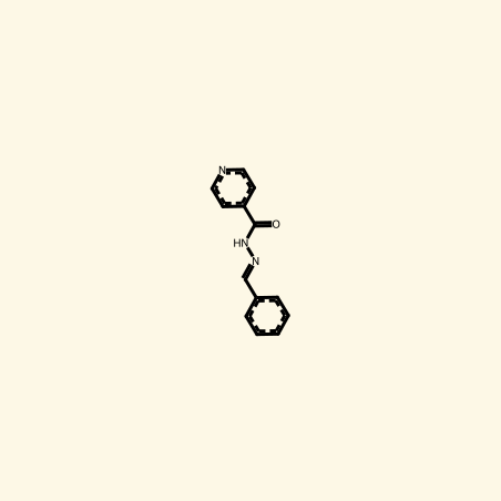 O=C(NN=Cc1ccccc1)c1ccncc1